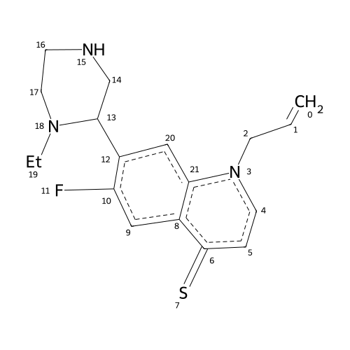 C=CCn1ccc(=S)c2cc(F)c(C3CNCCN3CC)cc21